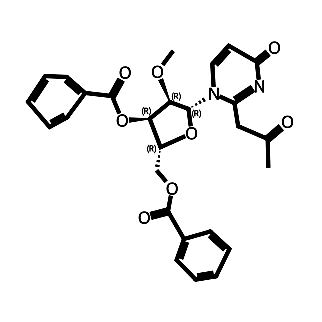 CO[C@@H]1[C@H](OC(=O)c2ccccc2)[C@@H](COC(=O)c2ccccc2)O[C@H]1n1ccc(=O)nc1CC(C)=O